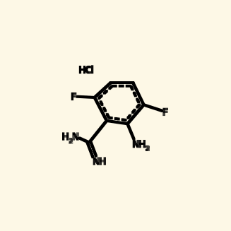 Cl.N=C(N)c1c(F)ccc(F)c1N